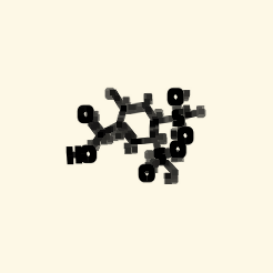 Cc1cc(S(C)(=O)=O)c(S(C)(=O)=O)cc1C(=O)O